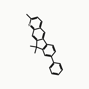 Cc1ccc2cc3c(cc2n1)C(C)(C)c1cc(-c2ccccc2)ccc1-3